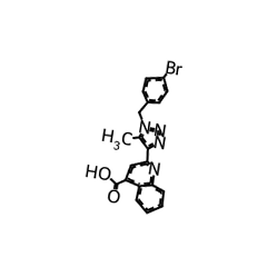 Cc1c(-c2cc(C(=O)O)c3ccccc3n2)nnn1Cc1ccc(Br)cc1